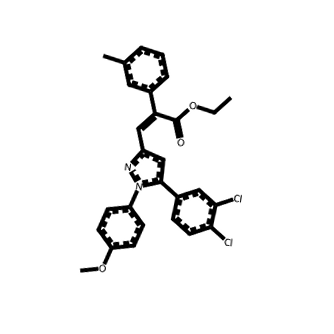 CCOC(=O)C(=Cc1cc(-c2ccc(Cl)c(Cl)c2)n(-c2ccc(OC)cc2)n1)c1cccc(C)c1